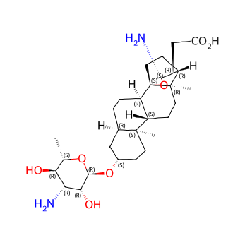 C[C@@H]1O[C@@H](O[C@H]2CC[C@@]3(C)[C@H](CC[C@@H]4[C@@H]3CC[C@]3(C)[C@@H]5CC[C@]43O[C@H](N)[C@@H]5CC(=O)O)C2)[C@H](O)[C@H](N)[C@H]1O